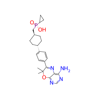 CC1(C)Oc2ncnc(N)c2N=C1c1ccc([C@H]2CC[C@H](CP(=O)(O)C3CC3)CC2)cc1